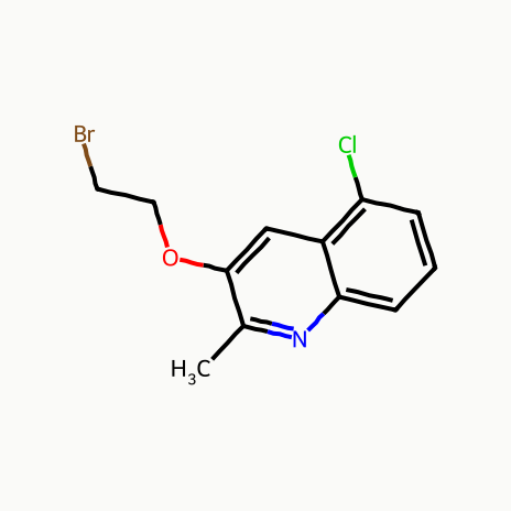 Cc1nc2cccc(Cl)c2cc1OCCBr